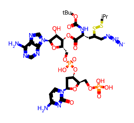 CC(C)SSC(CN=[N+]=[N-])C[C@@H](NC(=O)OC(C)(C)C)C(=O)O[C@H]1[C@@H](O)[C@H](n2cnc3c(N)ncnc32)O[C@H]1COP(=O)(O)O[C@H]1C[C@H](n2ccc(N)nc2=O)O[C@@H]1COP(=O)(O)O